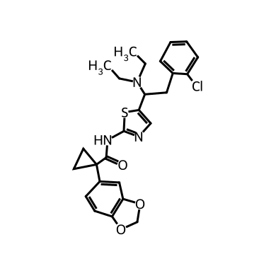 CCN(CC)C(Cc1ccccc1Cl)c1cnc(NC(=O)C2(c3ccc4c(c3)OCO4)CC2)s1